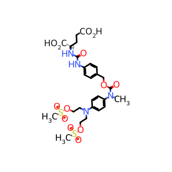 CN(C(=O)OCc1ccc(NC(=O)N[C@@H](CCC(=O)O)C(=O)O)cc1)c1ccc(N(CCOS(C)(=O)=O)CCOS(C)(=O)=O)cc1